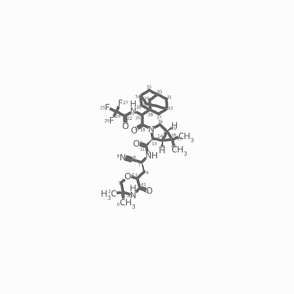 CC1(C)COC(C[C@@H](C#N)NC(=O)[C@@H]2[C@@H]3[C@H](CN2C(=O)C(NC(=O)C(F)(F)F)C24CC5CC(CC(C5)C2)C4)C3(C)C)C(=O)N1